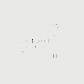 COc1cccc(CCC2CCc3ccc(F)cc3N2S(=O)(=O)c2ccc(C)cc2C)c1